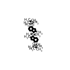 CC1=Cc2c(O[Si](C)(C)C(C)(C)C)cccc2C1[Si](C)(C)C1C(C)=Cc2c(O[Si](C)(C)C(C)(C)C)cccc21